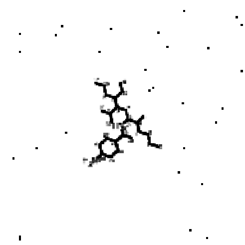 CCCCC(C)[C@H](CC(C(C)C)C(CC)CCC)NC(C)C1CCC(N)CC1